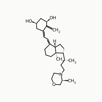 C=C1/C(=C\C=C2/CCC[C@]3(C)[C@@H]([C@H](C)CCN4CCOC[C@@H]4C)CC[C@@H]23)C[C@@H](O)C[C@H]1O